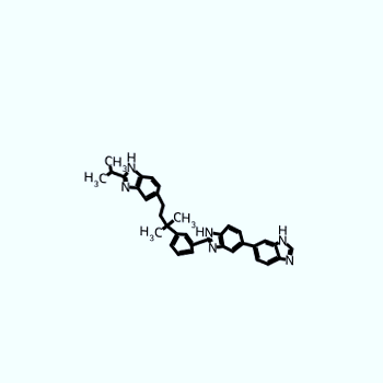 CC(C)c1nc2cc(CCC(C)(C)c3cccc(-c4nc5cc(-c6ccc7nc[nH]c7c6)ccc5[nH]4)c3)ccc2[nH]1